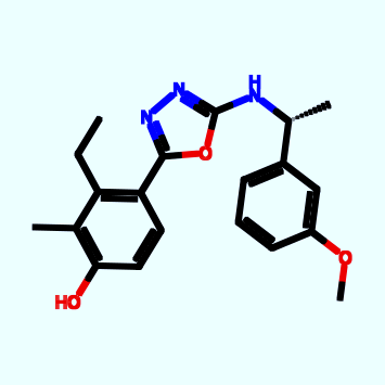 CCc1c(-c2nnc(N[C@H](C)c3cccc(OC)c3)o2)ccc(O)c1C